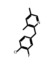 Cc1cnc(Cc2ccc(Cl)c(F)c2)c(C)c1